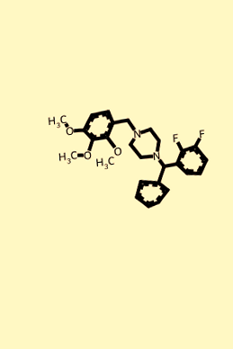 COc1ccc(CN2CCN(C(c3ccccc3)c3cccc(F)c3F)CC2)c(OC)c1OC